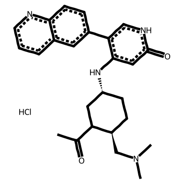 CC(=O)C1C[C@H](Nc2cc(=O)[nH]cc2-c2ccc3ncccc3c2)CC[C@H]1CN(C)C.Cl